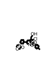 Cc1ccc(S(=O)(=O)n2c(Cl)c(CCO)c3cc(-c4cccc(N5CCOCC5=O)c4)cnc32)cc1